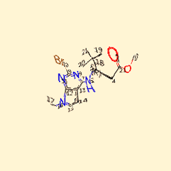 COC(=O)C[C@@H](Nc1nc(Br)nc2c1ccn2C)C(C)(C)C